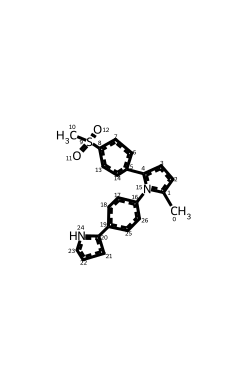 Cc1ccc(-c2ccc(S(C)(=O)=O)cc2)n1-c1ccc(-c2ccc[nH]2)cc1